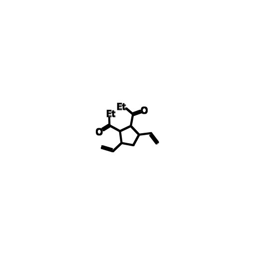 C=CC1CC(C=C)C(C(=O)CC)C1C(=O)CC